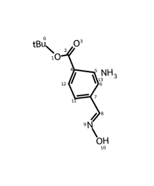 CC(C)(C)OC(=O)c1ccc(C=NO)cc1.N